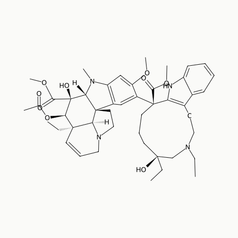 CCN1CCc2c([nH]c3ccccc23)[C@@](C(=O)OC)(c2cc3c(cc2OC)N(C)[C@H]2[C@@](O)(C(=O)OC)[C@H](OC(C)=O)[C@]4(CC)C=CCN5CC[C@]32[C@@H]54)CCC[C@@](O)(CC)C1